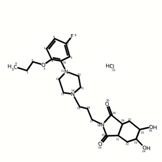 CCCOc1ccc(F)cc1N1CCN(CCCN2C(=O)C3CC(O)C(O)CC3C2=O)CC1.Cl